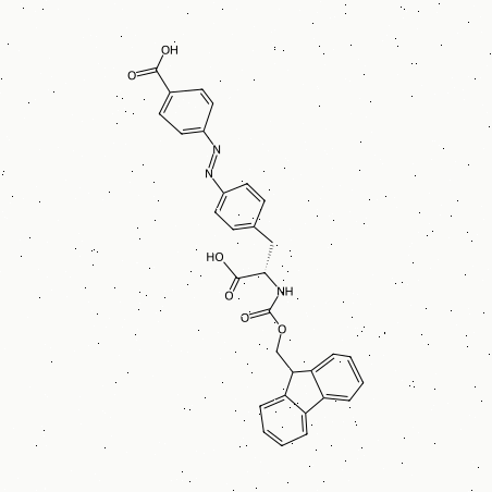 O=C(N[C@@H](Cc1ccc(N=Nc2ccc(C(=O)O)cc2)cc1)C(=O)O)OCC1c2ccccc2-c2ccccc21